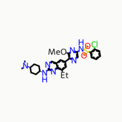 CCc1cc(-c2ncc(NS(=O)(=O)c3ccccc3Cl)nc2OC)cc2cnc(N[C@H]3CC[C@H](N(C)C)CC3)nc12